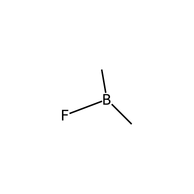 CB(C)F